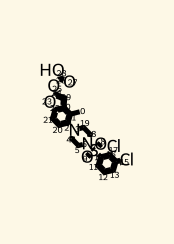 Cc1c(N2CCN(S(=O)(=O)c3cccc(Cl)c3Cl)CC2)ccc2oc(OC(=O)O)cc12